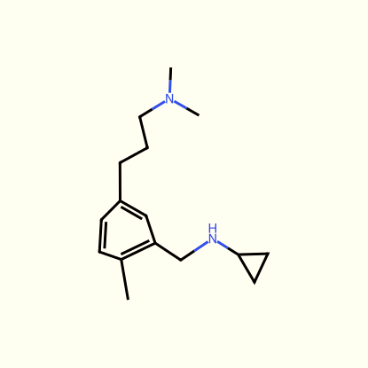 Cc1ccc(CCCN(C)C)cc1CNC1CC1